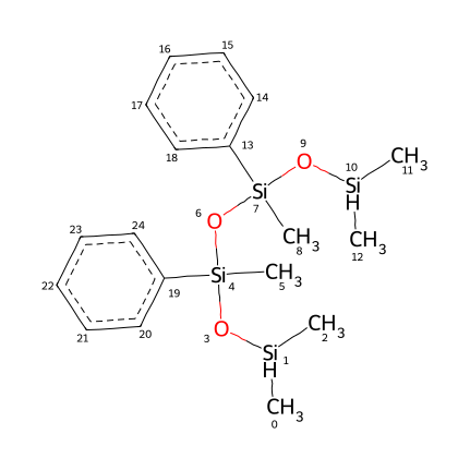 C[SiH](C)O[Si](C)(O[Si](C)(O[SiH](C)C)c1ccccc1)c1ccccc1